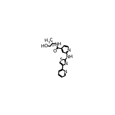 C[C@@H](CO)NC(=O)c1ccnc(Nc2nc(-c3ccccn3)cs2)c1